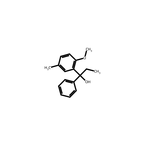 CCC(O)(c1ccccc1)c1cc(C)ccc1OC